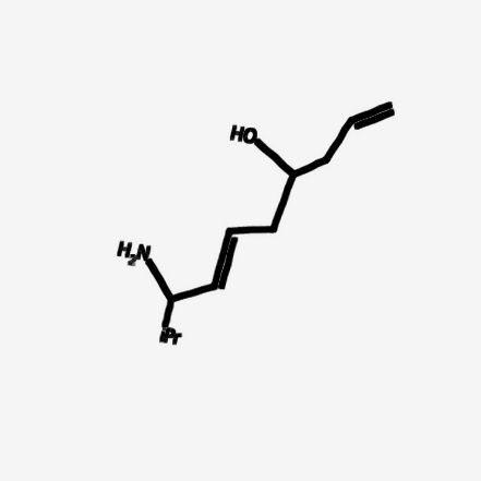 C=CCC(O)CC=CC(N)C(C)C